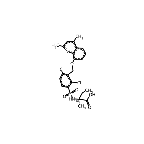 CC[C@](C)(NS(=O)(=O)c1ccc(Cl)c(COc2cccc3c(C)cc(C)nc23)c1Cl)C(=O)O